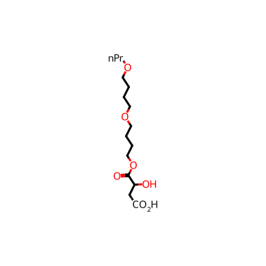 CCCOCCCCOCCCCOC(=O)C(O)CC(=O)O